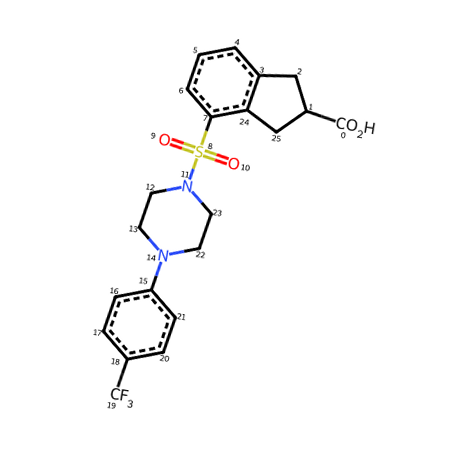 O=C(O)C1Cc2cccc(S(=O)(=O)N3CCN(c4ccc(C(F)(F)F)cc4)CC3)c2C1